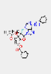 CC(=O)O[C@]1(C)[C@@H](COC(=O)c2ccccc2)O[C@H](n2cnc3c(NCc4ccccc4)ncnc32)[C@]1(C)F